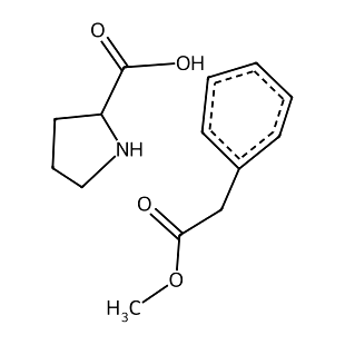 COC(=O)Cc1ccccc1.O=C(O)C1CCCN1